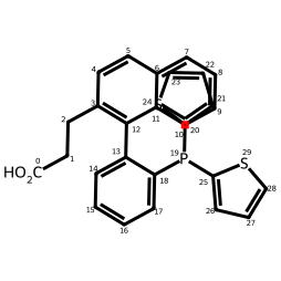 O=C(O)CCc1ccc2ccccc2c1-c1ccccc1P(c1cccs1)c1cccs1